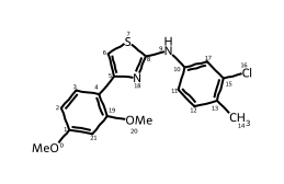 COc1ccc(-c2csc(Nc3ccc(C)c(Cl)c3)n2)c(OC)c1